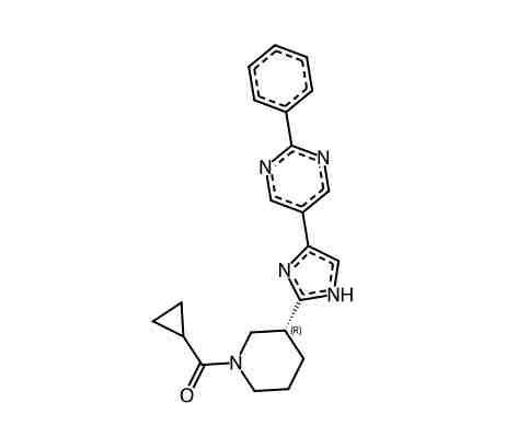 O=C(C1CC1)N1CCC[C@@H](c2nc(-c3cnc(-c4ccccc4)nc3)c[nH]2)C1